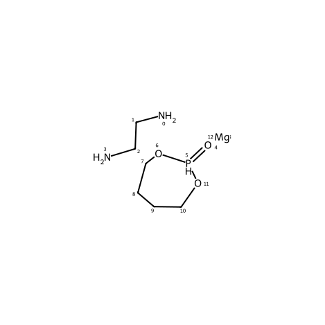 NCCN.O=[PH]1OCCCCO1.[Mg]